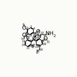 COc1ccc(S(=O)(=O)N(CCN)c2c(Cc3c(F)cccc3F)cc(CI)cc2OC)cc1OC